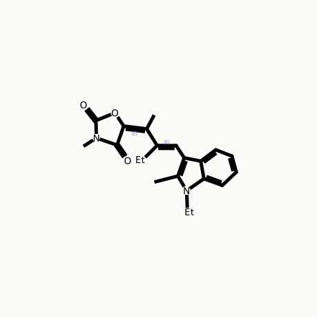 CCC(=C\c1c(C)n(CC)c2ccccc12)/C(C)=C1/OC(=O)N(C)C1=O